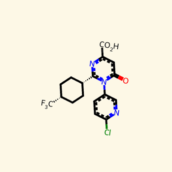 O=C(O)c1cc(=O)n(-c2ccc(Cl)nc2)c([C@H]2CC[C@@H](C(F)(F)F)CC2)n1